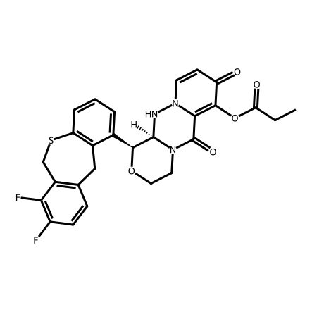 CCC(=O)Oc1c2n(ccc1=O)N[C@@H]1[C@H](c3cccc4c3Cc3ccc(F)c(F)c3CS4)OCCN1C2=O